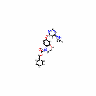 CNc1cc(Oc2ccc3c(c2)OCCN3C(=O)OCc2ccccc2)ncn1